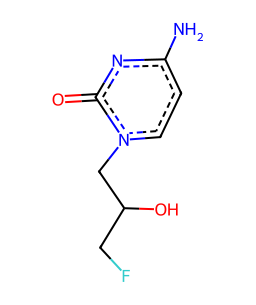 Nc1ccn(CC(O)CF)c(=O)n1